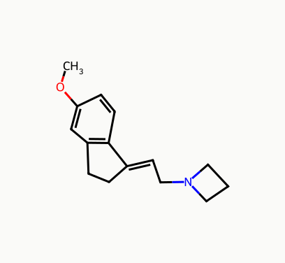 COc1ccc2c(c1)CC/C2=C\CN1CCC1